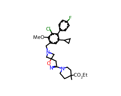 CCOC(=O)C1(C)CCN(C2=NOC3(C2)CN(Cc2cc(C4CC4)c(-c4ccc(F)cc4)c(Cl)c2OC)C3)CC1